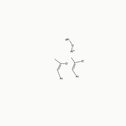 CC(=O)/C=C(/C)[O-].CC(=O)/C=C(/C)[O-].CCC[O][Al+2]